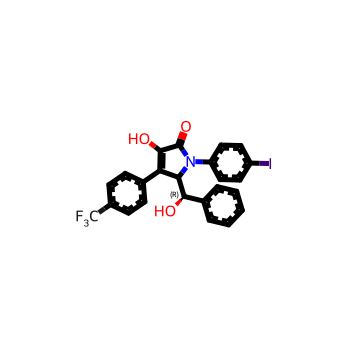 O=C1C(O)=C(c2ccc(C(F)(F)F)cc2)C([C@H](O)c2ccccc2)N1c1ccc(I)cc1